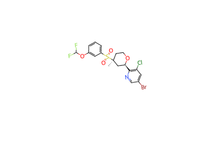 C[C@]1(S(=O)(=O)c2cccc(OC(F)F)c2)CCO[C@@H](c2ncc(Br)cc2Cl)C1